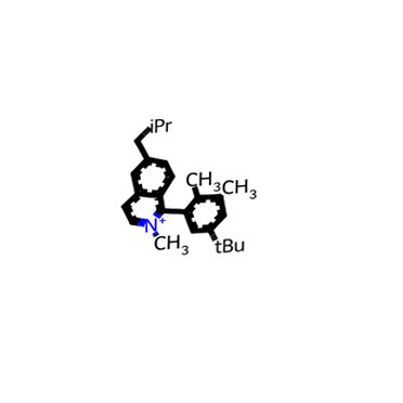 Cc1cc(C(C)(C)C)cc(-c2c3ccc(CC(C)C)cc3cc[n+]2C)c1C